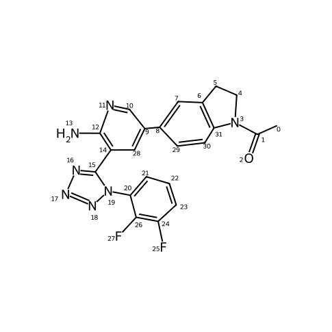 CC(=O)N1CCc2cc(-c3cnc(N)c(-c4nnnn4-c4cccc(F)c4F)c3)ccc21